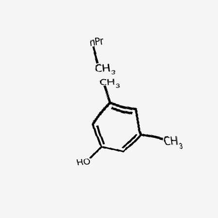 CCCC.Cc1cc(C)cc(O)c1